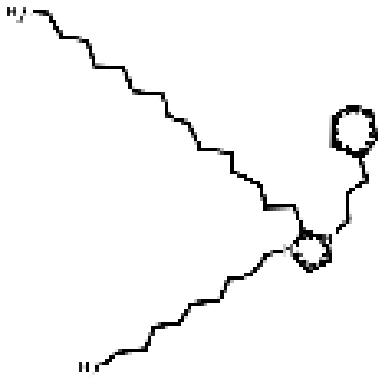 CCCCCCCCCCCCCCCCc1n(CCCCCCCCCC)cc[n+]1CCCc1ccccc1